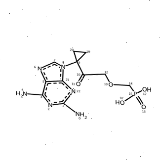 Nc1nc(N)c2ncn(C3(C(=O)COCP(=O)(O)O)CC3)c2n1